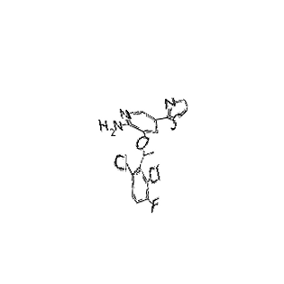 CC(Oc1cc(-c2nccs2)cnc1N)c1c(Cl)ccc(F)c1Cl